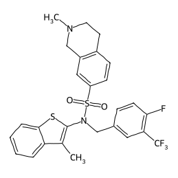 Cc1c(N(Cc2ccc(F)c(C(F)(F)F)c2)S(=O)(=O)c2ccc3c(c2)CN(C)CC3)sc2ccccc12